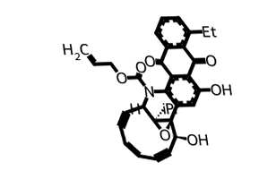 C=CCOC(=O)N1c2c(cc(O)c3c2C(=O)c2cccc(CC)c2C3=O)[C@@]23O[C@@]2(C(C)C)[C@@H]1C#C/C=C\C#C[C@@H]3O